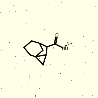 NNC(=O)C1C2CCCC3(C2)CC13